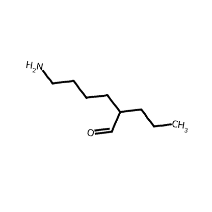 CCCC(C=O)CCCCN